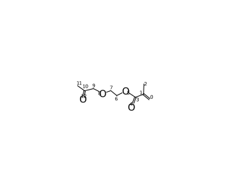 C=C(C)C(=O)OCCOCC(C)=O